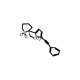 O=C(O)C[C@]1(c2ccc(C#Cc3ccccc3)s2)CCCCS1(=O)=O